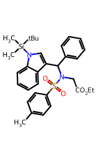 CCOC(=O)CN(C(c1ccccc1)c1cn([Si](C)(C)C(C)(C)C)c2ccccc12)S(=O)(=O)c1ccc(C)cc1